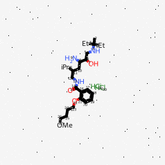 CCC(C)(CC)NCC(O)C(N)CC(CNC(=O)c1ccccc1OCCCCOC)C(C)C.Cl.Cl